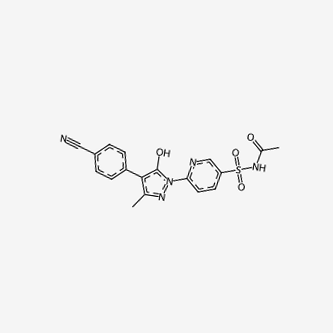 CC(=O)NS(=O)(=O)c1ccc(-n2nc(C)c(-c3ccc(C#N)cc3)c2O)nc1